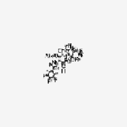 CCn1ncc(Cl)c1[C@H]([SH]1C[C@H](OC)[C@@H](n2cc(-c3cc(F)c(F)c(F)c3)nn2)[C@@H](O)[C@H]1CO)C1(O)CCC(F)(F)CC1